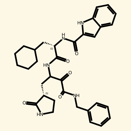 O=C(NCc1ccccc1)C(=O)C(C[C@@H]1CCNC1=O)NC(=O)[C@H](CC1CCCCC1)NC(=O)c1cc2ccccc2[nH]1